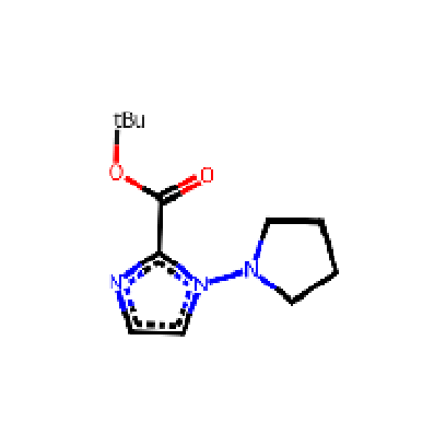 CC(C)(C)OC(=O)c1nccn1N1CCCC1